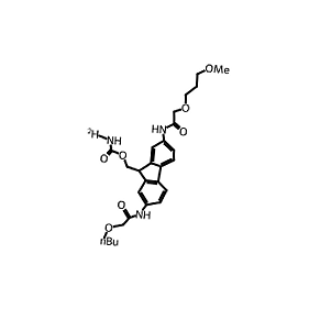 [2H]NC(=O)OCC1c2cc(NC(=O)COCCCC)ccc2-c2ccc(NC(=O)COCCCOC)cc21